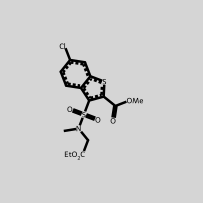 CCOC(=O)CN(C)S(=O)(=O)c1c(C(=O)OC)sc2cc(Cl)ccc12